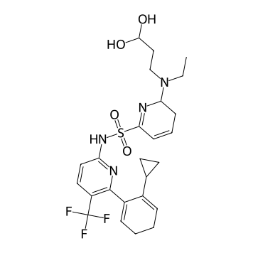 CCN(CCC(O)O)C1CC=CC(S(=O)(=O)Nc2ccc(C(F)(F)F)c(C3=CCCC=C3C3CC3)n2)=N1